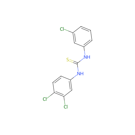 S=C(Nc1cccc(Cl)c1)Nc1ccc(Cl)c(Cl)c1